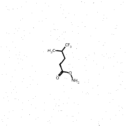 CC(CCC(=O)ON)C(F)(F)F